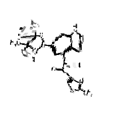 Cc1nc(C(=O)Nc2cc(B3OC(C)(C)C(C)(C)O3)cc3[nH]ncc23)cs1